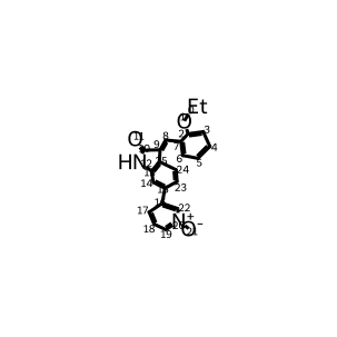 CCOc1ccccc1/C=C1/C(=O)Nc2cc(-c3ccc[n+]([O-])c3)ccc21